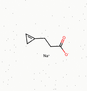 O=C([O-])CCC1=CC1.[Na+]